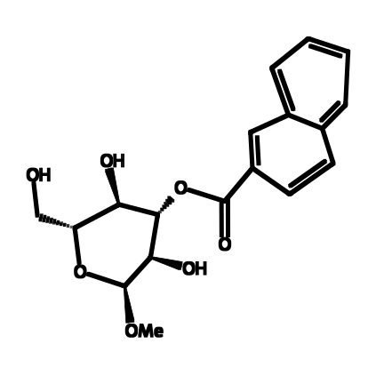 CO[C@H]1O[C@H](CO)[C@@H](O)[C@H](OC(=O)c2ccc3ccccc3c2)[C@H]1O